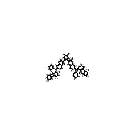 Cc1c(C)c2oc3cc4cc(N(c5ccccc5)c5cccc6c5oc5ccccc56)ccc4cc3c2c2c1oc1cc3cc(N(c4ccccc4)c4cccc5c4oc4ccccc45)ccc3cc12